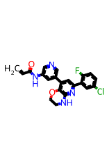 C=CC(=O)Nc1cncc(-c2cc(-c3cc(Cl)ccc3F)nc3c2OCCN3)c1